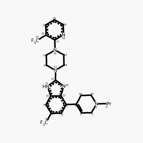 CC(C)N1CC=C(c2cc(C(F)(F)F)cc3[nH]c(N4CCN(c5ncccc5C(F)(F)F)CC4)nc23)CC1